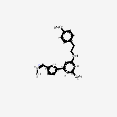 COc1ccc(CCNc2cc(-c3ccc(/C=N\O)s3)nc(OC)n2)cc1